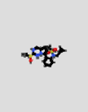 C[S+]([O-])c1ncc2ccc(-c3ccccc3N(CC3CC3)S(C)(=O)=O)n2n1